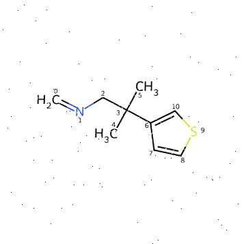 C=NCC(C)(C)c1ccsc1